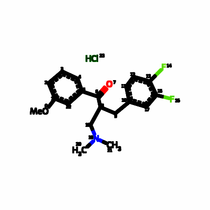 COc1cccc(C(=O)C(Cc2ccc(F)c(F)c2)CN(C)C)c1.Cl